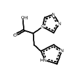 O=C(O)C(Cc1cnc[nH]1)n1cnnc1